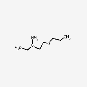 CCCOCCN(N)CC